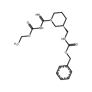 CCOC(=O)NC(=N)N1CCC[C@@H](CNC(=O)OCc2ccccc2)C1